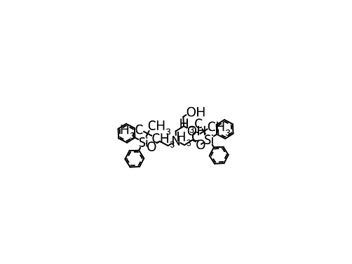 CC(C)(C)[Si](OCCN(CCO[Si](c1ccccc1)(c1ccccc1)C(C)(C)C)CC(O)CO)(c1ccccc1)c1ccccc1